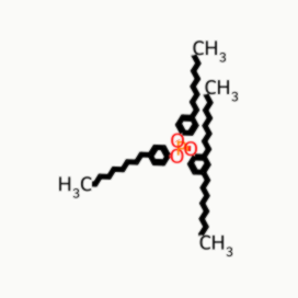 CCCCCCCCCc1ccc(OP(Oc2ccc(CCCCCCCCC)cc2)Oc2ccc(CCCCCCCCC)cc2CCCCCCCCC)cc1